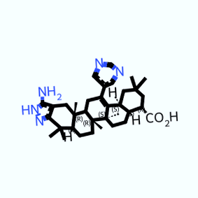 CC1(C)C[C@@H]2C3=C(c4cncnc4)CC4[C@@]5(C)Cc6c(n[nH]c6N)C(C)(C)[C@@H]5CC[C@@]4(C)[C@]3(C)CC[C@@H]2[C@H](C(=O)O)C1